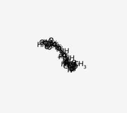 CN(c1nccnc1CNc1nc(Nc2ccc(CNC3CCN(c4ccc5c(c4)C(=O)N(C4CCC(=O)NC4=O)C5=O)CC3)c(F)c2)ncc1C(F)(F)F)S(C)(=O)=O